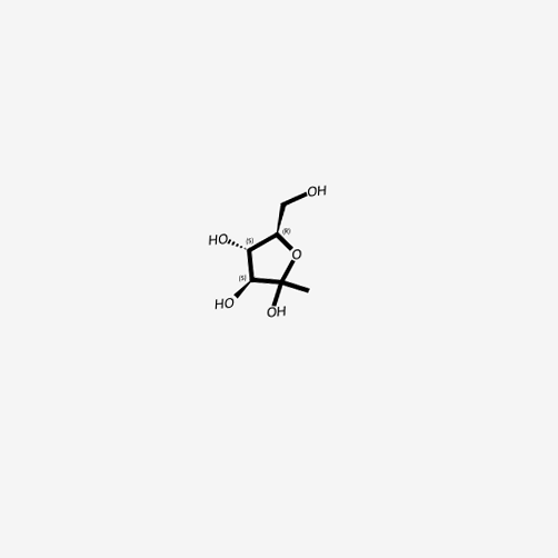 CC1(O)O[C@H](CO)[C@@H](O)[C@@H]1O